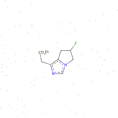 CCOC(=O)Cc1ncn2c1CC(F)C2